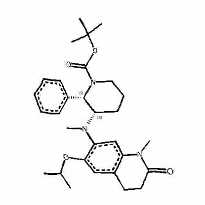 CC(C)Oc1cc2c(cc1N(C)[C@H]1CCCN(C(=O)OC(C)(C)C)[C@H]1c1ccccc1)N(C)C(=O)CC2